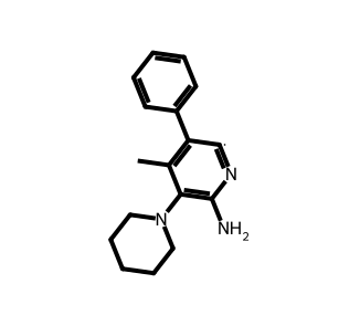 Cc1c(-c2ccccc2)[c]nc(N)c1N1CCCCC1